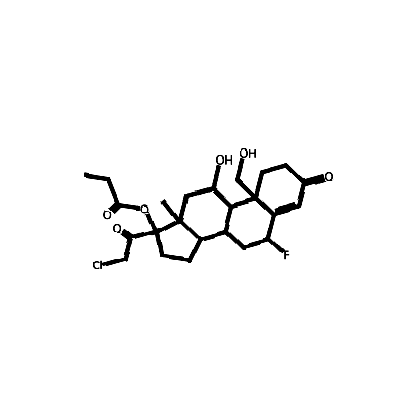 CCC(=O)OC1(C(=O)CCl)CCC2C3CC(F)C4=CC(=O)CCC4(CO)C3C(O)CC21C